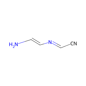 N#CC=NC=CN